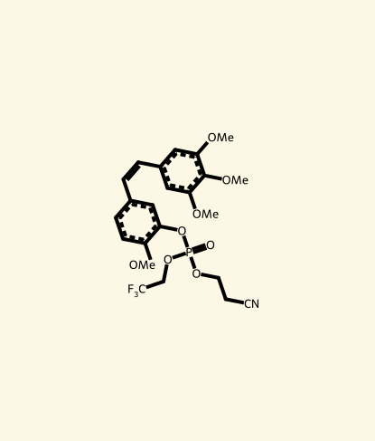 COc1ccc(/C=C\c2cc(OC)c(OC)c(OC)c2)cc1OP(=O)(OCCC#N)OCC(F)(F)F